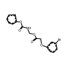 O=C(COc1cccc(Br)c1)OCNC(=O)Oc1ccccc1